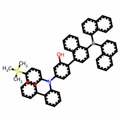 CS(C)(C)c1ccc(N(c2ccc(-c3ccc(B(c4cccc5ccccc45)c4cccc5ccccc45)c4ccccc34)c(O)c2)c2ccccc2-c2ccccc2)cc1